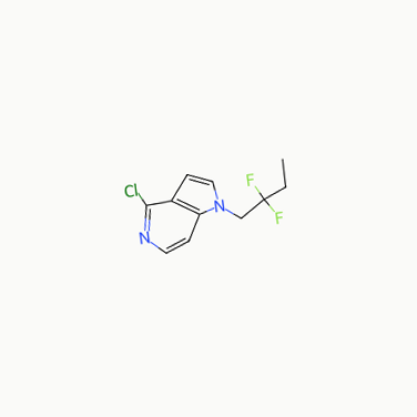 CCC(F)(F)Cn1ccc2c(Cl)nccc21